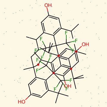 CC(C)c1cc(O)cc(C(C)C)c1C(c1c(C(C)C)cc(O)cc1C(C)CCC(C)(C)c1cc(O)cc(C(C)(C)C)c1C(c1c(C(C)(C)C)cc(O)cc1C(C)(C)C)(C(F)(F)F)C(F)(F)F)(C(F)(F)F)C(F)(F)F